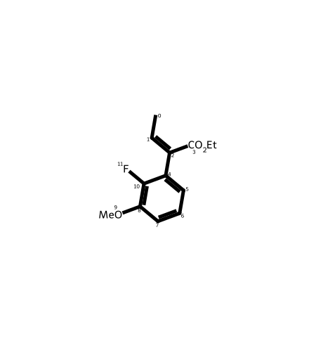 CC=C(C(=O)OCC)c1cccc(OC)c1F